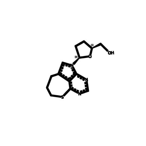 OC[C@@H]1CC[C@H](n2cc3c4c(ncnc42)SCCC3)O1